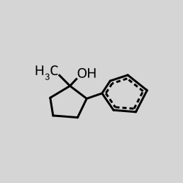 CC1(O)CCCC1c1ccccc1